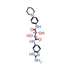 Nc1nc2ccc(NC(=O)[C@H](O)[C@@H](O)C(=O)Nc3ccc(N4CCCCC4)cc3)cc2[nH]1